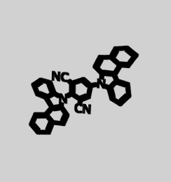 N#Cc1cc(-n2c3ccccc3c3c4ccccc4ccc32)cc(C#N)c1-n1c2ccccc2c2c3ccccc3ccc21